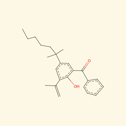 C=C(C)c1cc(C(C)(C)CCCCC)cc(C(=O)c2ccccc2)c1O